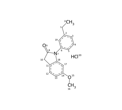 CCc1cccc(N2C(=O)Cc3ccc(OC)cc32)c1.Cl